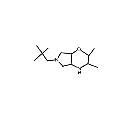 CC1NC2CN(CC(C)(C)C)CC2OC1C